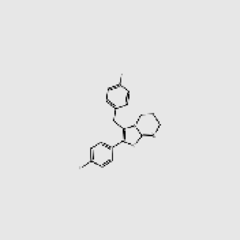 Fc1ccc(CC2=C(c3ccc(F)cc3)SC3=NCCCN32)cc1